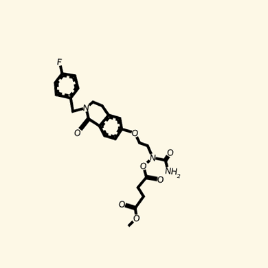 COC(=O)CCC(=O)ON(CCOc1ccc2c(c1)CCN(Cc1ccc(F)cc1)C2=O)C(N)=O